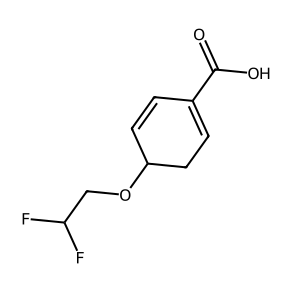 O=C(O)C1=CCC(OCC(F)F)C=C1